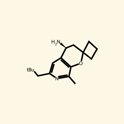 Cc1nc(CC(C)(C)C)cc2c1OC1(CCC1)C[C@@H]2N